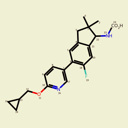 CC1(C)Cc2cc(-c3ccc(OCC4CC4)nc3)c(F)cc2C1NC(=O)O